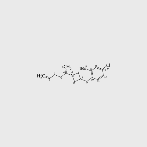 C=CCCC(=C)N1CC(Cc2ccc(Cl)cc2C(C)(C)C)C1